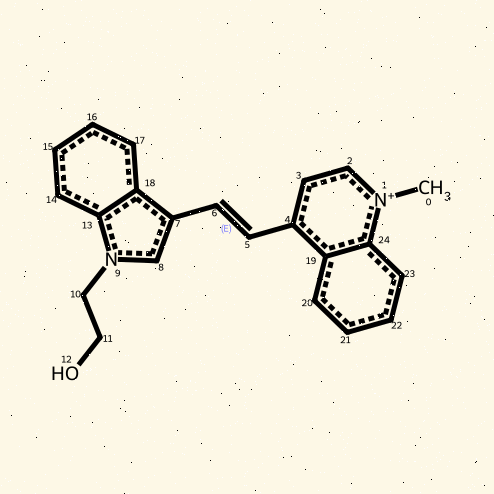 C[n+]1ccc(/C=C/c2cn(CCO)c3ccccc23)c2ccccc21